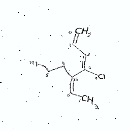 C=C/C=C(Cl)\C(=C/C)CCI